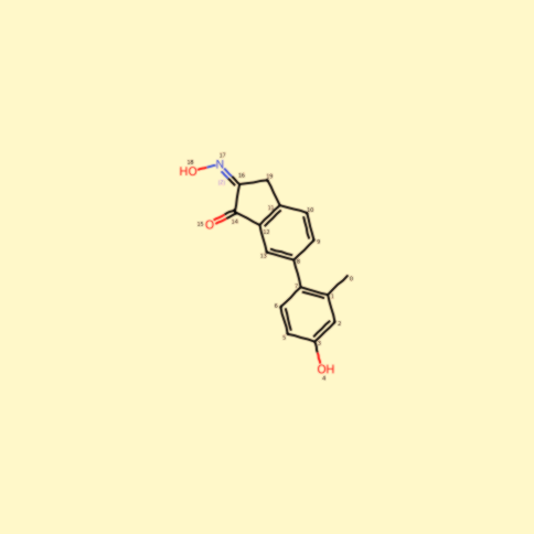 Cc1cc(O)ccc1-c1ccc2c(c1)C(=O)/C(=N\O)C2